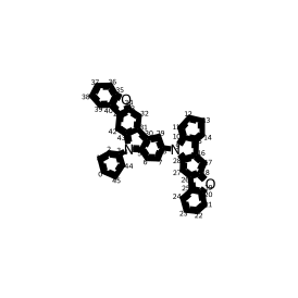 c1ccc(-n2c3ccc(-n4c5ccccc5c5cc6oc7ccccc7c6cc54)cc3c3cc4oc5ccccc5c4cc32)cc1